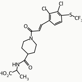 CC(NC(=O)C1CCN(C(=O)/C=C/c2ccc(SC(F)(F)F)c(Cl)c2Cl)CC1)C(=O)O